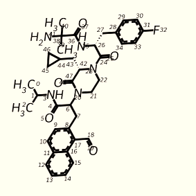 CC(C)NC(=O)C(Cc1ccc2ccccc2c1C=O)N1CCN(C(=O)[C@@H](Cc2ccc(F)cc2)NC(=O)C(C)(C)N)[C@@H](CC2CC2)C1=O